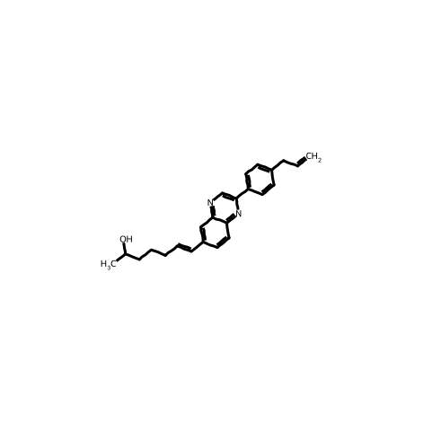 C=CCc1ccc(-c2cnc3cc(C=CCCCC(C)O)ccc3n2)cc1